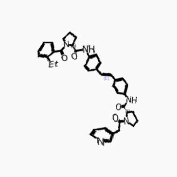 CCc1ccccc1C(=O)N1CCC[C@H]1C(=O)Nc1ccc(/C=C/c2ccc(NC(=O)[C@@H]3CCCN3C(=O)Cc3cccnc3)cc2)cc1